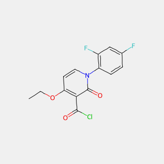 CCOc1ccn(-c2ccc(F)cc2F)c(=O)c1C(=O)Cl